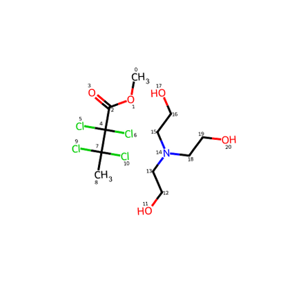 COC(=O)C(Cl)(Cl)C(C)(Cl)Cl.OCCN(CCO)CCO